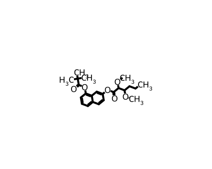 CCCC(OC)C(OC)C(=O)Oc1ccc2cccc(OC(=O)C(C)(C)C)c2c1